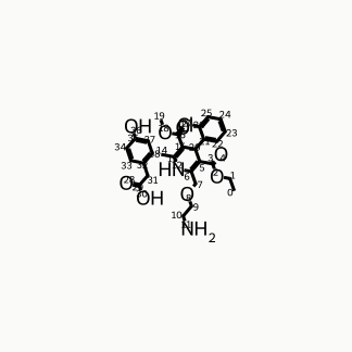 CCOC(=O)C1=C(COCCN)NC(C)=C(C(=O)OC)C1c1ccccc1Cl.O=C(O)Cc1ccc(O)cc1